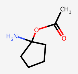 CC(=O)OC1(N)CCCC1